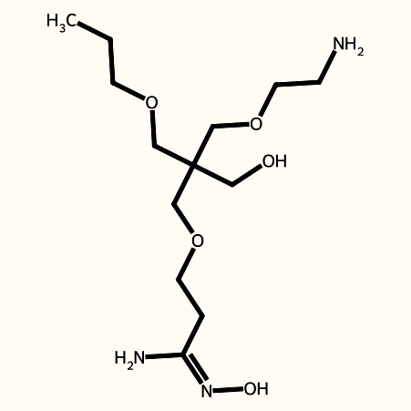 CCCOCC(CO)(COCCN)COCC/C(N)=N\O